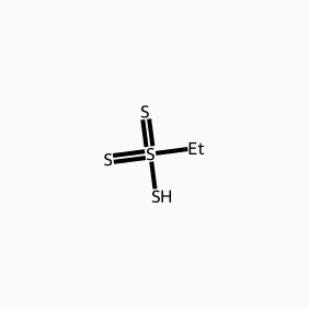 CCS(=S)(=S)S